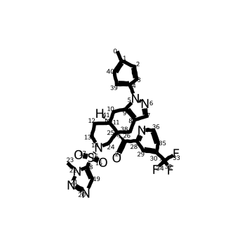 Cc1ccc(-n2ncc3c2C[C@@H]2CCN(S(=O)(=O)c4cnnn4C)C[C@@]2(C(=O)c2cc(C(F)(F)F)ccn2)C3)cc1